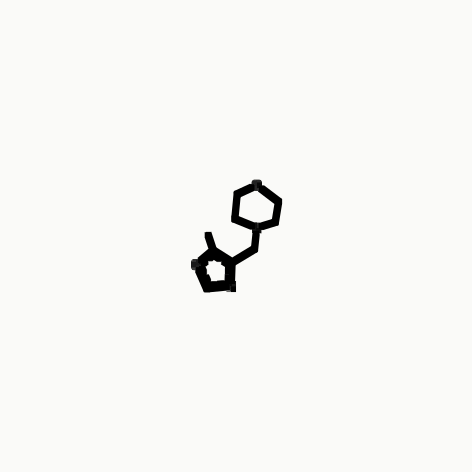 Cc1ocnc1CN1CCOCC1